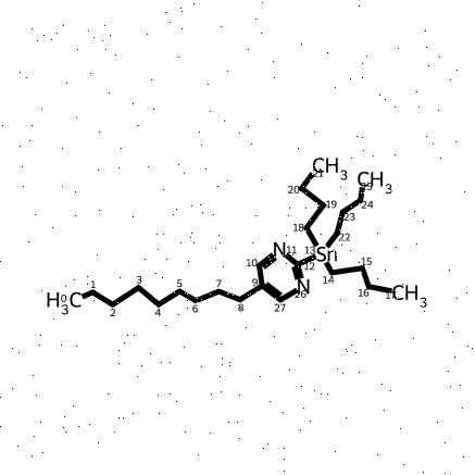 CCCCCCCCCc1cn[c]([Sn]([CH2]CCC)([CH2]CCC)[CH2]CCC)nc1